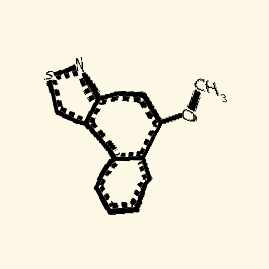 COc1cc2nscc2c2ccccc12